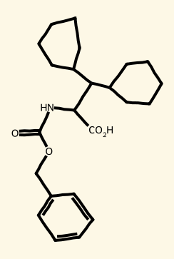 O=C(NC(C(=O)O)C(C1CCCCC1)C1CCCCC1)OCc1ccccc1